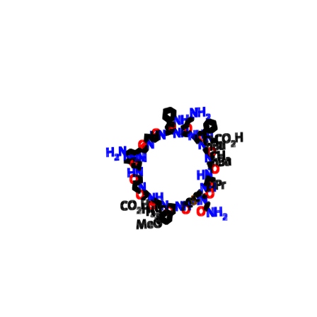 CCCC[C@H]1C(=O)N(C)[C@@H](CCCC)C(=O)NC(CC(C)C)C(=O)N[C@H](C(=O)NCC(N)=O)CSCC(=O)N[C@@H](Cc2ccc(OC)cc2)C(=O)N(C)[C@@H](C)C(=O)N[C@@H](CC(=O)O)C(=O)N2CCCC2C(=O)N[C@@H](Cc2cnc[nH]2)C(=O)N[C@@H](CCCCN)C(=O)N2CCC[C@@H]2C(=O)N[C@@H](Cc2c[nH]c3ccccc23)C(=O)N[C@@H](CCCCN)C(=O)N[C@@H](Cc2cn(CC(=O)O)c3ccccc23)C(=O)N1C